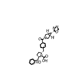 O=C(c1ccc(C[C@@H]2CC[C@H]([C@H](O)c3ccccc3)N2C(=O)O)cc1)N1C[C@@H]2[C@H](C1)[C@H]2c1nnco1